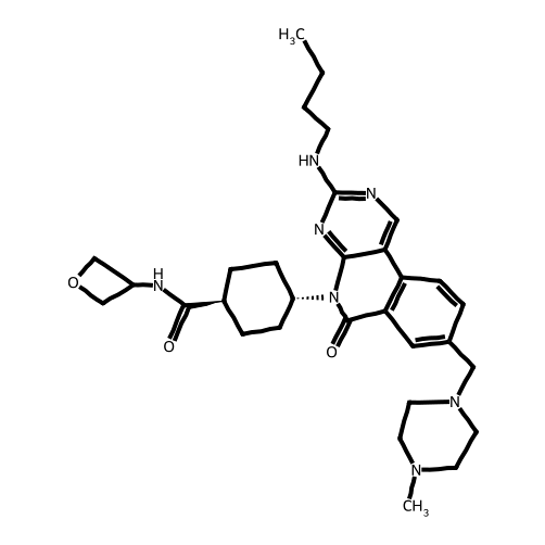 CCCCNc1ncc2c3ccc(CN4CCN(C)CC4)cc3c(=O)n([C@H]3CC[C@H](C(=O)NC4COC4)CC3)c2n1